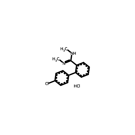 CN=C(NC)c1ccccc1-c1ccc(Cl)cc1.Cl